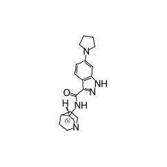 O=C(N[C@@H]1CN2CCC1CC2)c1n[nH]c2cc(N3CCCC3)ccc12